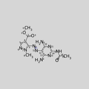 COC(=O)c1cnn(C)c1/N=N/c1c(N)nc(NC(C)=O)nc1N